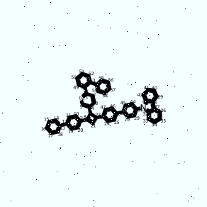 C=C(/C=C\C(=C/C)C1C(c2ccc(-c3ccccc3)cc2)=CC1c1ccc(-c2ccc(-n3c4ccccc4c4ccccc43)cc2)cc1)c1ccccc1-c1ccccc1